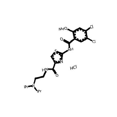 COc1cc(Cl)c(Cl)cc1C(=O)Nc1nc(C(=O)NCCN(C(C)C)C(C)C)cs1.Cl